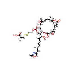 CO[C@@H](/C(C)=C/C=C/C(C)=C/c1coc(C)n1)[C@@H](C)[C@@H]1C[C@H](OC(=O)OCCSSC[C@H](C)C(=O)O)[C@@]2(C)O[C@@H]2/C=C/[C@@H](C)[C@H]2C[C@H](CC(=O)O2)C[C@@H]2OC2C(=O)O1